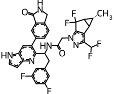 C[C@@H]1C2c3c(C(F)F)nn(CC(=O)NC(Cc4cc(F)cc(F)c4)c4nc5cc[nH]c5cc4-c4ccc5c(c4)C(=O)NC5)c3C(F)(F)C21